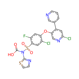 O=C(O)N(c1nccs1)S(=O)(=O)c1cc(Cl)c(Oc2cnc(Cl)cc2-c2cccnc2)cc1F